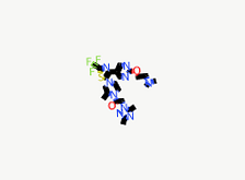 Cc1nc(C)n(CC(=O)N2CCN(c3sc(C(F)(F)F)nc3-c3cnc(OCCN(C)C)nc3)CC2C)n1